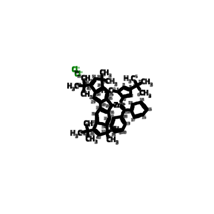 CC1C=C(C(C)(C)C)C=[C]1[Zr+2](=[C](c1ccccc1)c1ccccc1)[CH]1c2cc3c(cc2-c2cc4c(cc21)C(C)(C)C=C4C(C)(C)C)C(C(C)(C)C)=CC3(C)C.[Cl-].[Cl-]